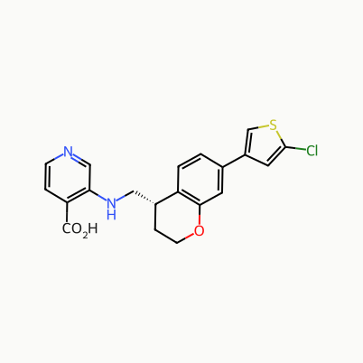 O=C(O)c1ccncc1NC[C@H]1CCOc2cc(-c3csc(Cl)c3)ccc21